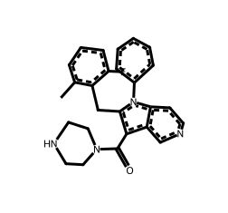 Cc1cccc(F)c1Cc1c(C(=O)N2CCNCC2)c2cnccc2n1-c1ccccc1